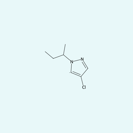 CCC(C)n1[c]c(Cl)cn1